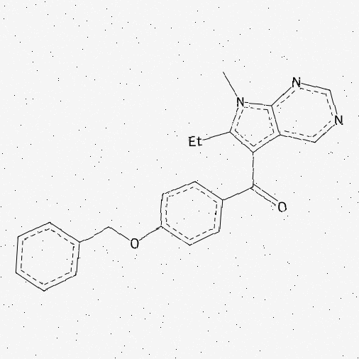 CCc1c(C(=O)c2ccc(OCc3ccccc3)cc2)c2cncnc2n1C